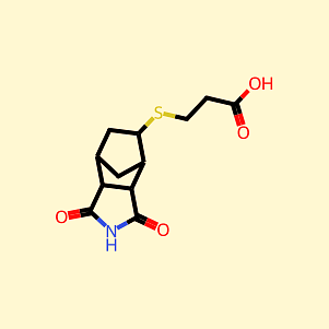 O=C(O)CCSC1CC2CC1C1C(=O)NC(=O)C21